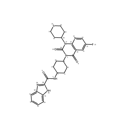 O=C(NC1CCC(n2c(=O)c3cc(F)cnc3n(C3CCSCC3)c2=O)CC1)c1nc2ccccc2[nH]1